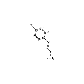 COC=Cc1ccc(F)nc1